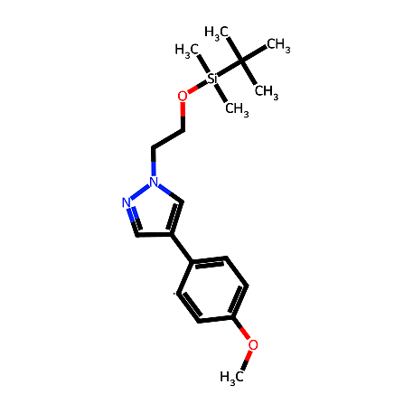 COc1c[c]c(-c2cnn(CCO[Si](C)(C)C(C)(C)C)c2)cc1